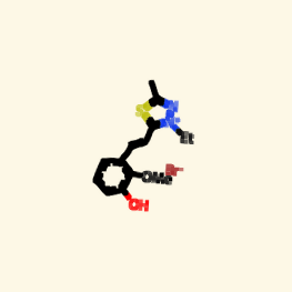 CC[n+]1nc(C)sc1C=Cc1cccc(O)c1OC.[Br-]